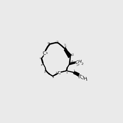 C#CC1CCCCCCCCC#CC1=C